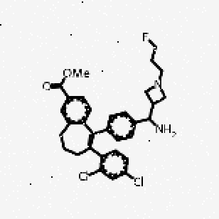 COC(=O)c1ccc2c(c1)CCCC(c1ccc(Cl)cc1Cl)=C2c1ccc(C(N)C2CN(CCCF)C2)cc1